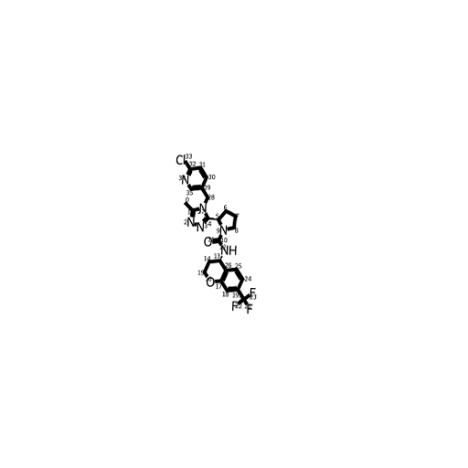 Cc1nnc([C@H]2CCCN2C(=O)N[C@H]2CCOc3cc(C(F)(F)F)ccc32)n1Cc1ccc(Cl)nc1